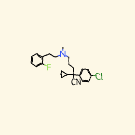 CN(CCCC(C#N)(c1ccc(Cl)cc1)C1CC1)CCc1ccccc1F